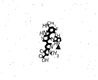 CNc1cc(F)c(F)c2c1[nH]c1ncc(-c3cnc4c(c3)c(=O)c(C(=O)O)cn4C)c(N3C[C@H]4CCN(C5CC5)[C@H]4C3)c12